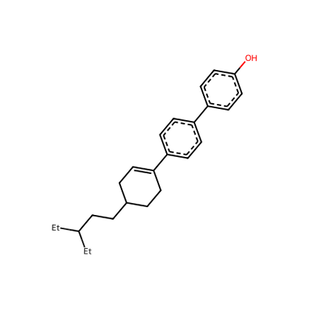 CCC(CC)CCC1CC=C(c2ccc(-c3ccc(O)cc3)cc2)CC1